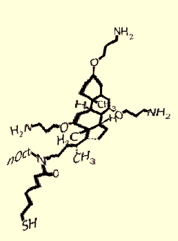 CCCCCCCCN(CCC[C@@H](C)[C@H]1CC[C@H]2C3[C@H](OCCCN)CC4C[C@H](OCCCN)CCC4(C)[C@H]3C[C@H](OCCCN)C12C)C(=O)CCCCCS